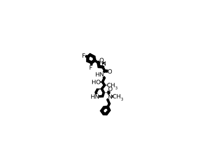 C[C@H]([C@@H]1CCNC[C@H]1C(=O)N(C)CCc1ccccc1)[C@@H](O)CNC(=O)c1cc(-c2ccc(F)cc2F)on1